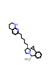 O=C(O)[C@@H](c1ccccc1C1CC1)N1CC[C@@H](CCCCCc2ccc3c(n2)NCCC3)C1